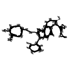 COC(=O)N1c2ccc3c(nc(CCc4ccc(F)c(F)c4)n3C3CCCCC3)c2CC[C@@H]1C